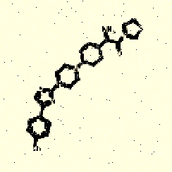 N#Cc1ccc(-c2csc(N3CCN(C4CCC(C(N)C(=O)N5CCSC5)CC4)CC3)n2)cc1